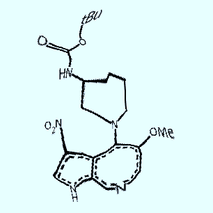 COc1cnc2[nH]cc([N+](=O)[O-])c2c1N1CCCC(NC(=O)OC(C)(C)C)C1